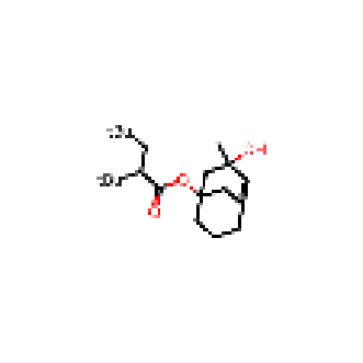 CC(C)(C)CC(C(=O)OC12CCCC(=CC(C)(O)C1)C2)C(C)(C)C